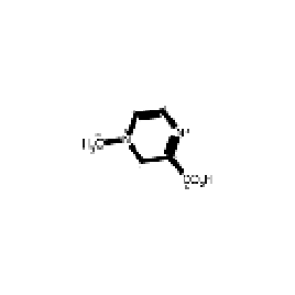 CN1C=CN=C(C(=O)O)C1